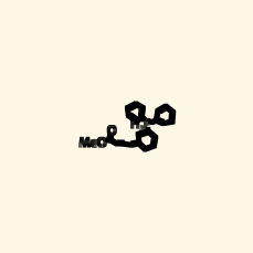 COC(=O)C=CC=C1C=C([PH2](c2ccccc2)c2ccccc2)C=CC1